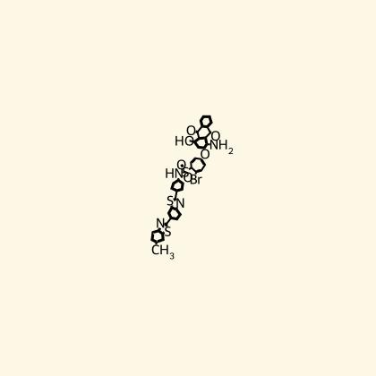 Cc1ccc2nc(-c3ccc4nc(-c5ccc(NS(=O)(=O)C6C=CC(Oc7cc(O)c8c(c7N)C(=O)c7ccccc7C8=O)=CC=C6Br)cc5)sc4c3)sc2c1